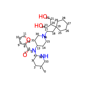 CC1CCC(N(C(=O)c2ccco2)C2CCN(CCC3(C(CO)CO)CCCCC3)CC2)NC1